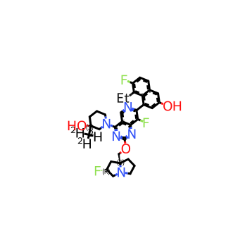 [2H]C([2H])([2H])[C@]1(O)CCCN(c2nc(OC[C@@]34CCCN3C[C@H](F)C4)nc3c(F)c(-c4cc(O)cc5ccc(F)c(CC)c45)ncc23)C1